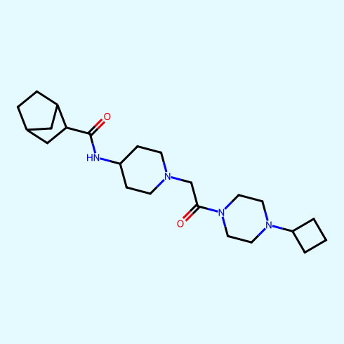 O=C(NC1CCN(CC(=O)N2CCN(C3CCC3)CC2)CC1)C1CC2CCC1C2